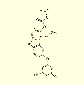 COCc1c(OC(=O)OC(C)C)ncc2[nH]c3ccc(Oc4cc(Cl)cc(Cl)c4)cc3c12